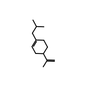 C=C(C)C1CC=C(CC(C)C)CC1